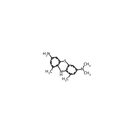 Cc1cc(N)cc2c1Nc1c(C)cc(N(C)C)cc1S2